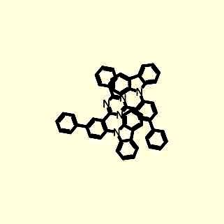 c1ccc(-c2ccc(-n3c4ccccc4c4ccccc43)c(-c3nc(-c4ccccc4)nc(-c4cc(-c5ccccc5)ccc4-n4c5ccccc5c5ccccc54)n3)c2)cc1